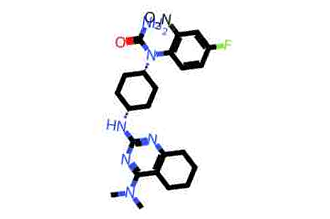 CN(C)c1nc(N[C@H]2CC[C@@H](N(C(N)=O)c3ccc(F)cc3[N+](=O)[O-])CC2)nc2c1CCCC2